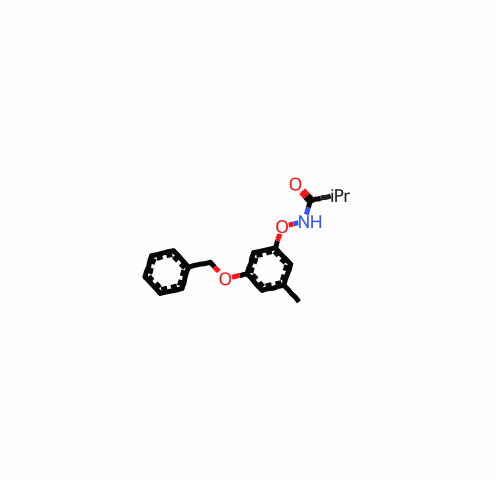 Cc1cc(OCc2ccccc2)cc(ONC(=O)C(C)C)c1